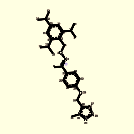 C/C(=N\OCc1c(C(C)C)cc(C(C)C)cc1C(C)C)c1ccc(OCc2nnnn2C)cc1